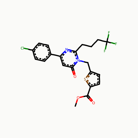 COC(=O)c1ccc(Cn2c(CCCC(F)(F)F)nc(-c3ccc(Cl)cc3)cc2=O)s1